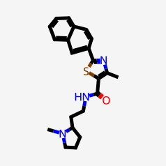 Cc1nc(-c2ccc3ccccc3c2)sc1C(=O)NCCC1CCCN1C